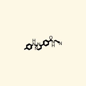 Cc1ccc(Nc2nccc(-c3ccc(C(=O)NCC#N)cc3)n2)cc1